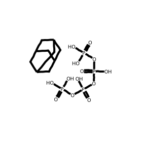 C1C2CC3CC1CC(C2)C3.O=P(O)(O)OP(=O)(O)OP(=O)(O)OP(=O)(O)O